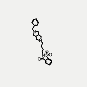 O=C1c2ccccc2S(=O)(=O)N1CCCCN1CC2CN(Cc3ccccc3)CC2C1